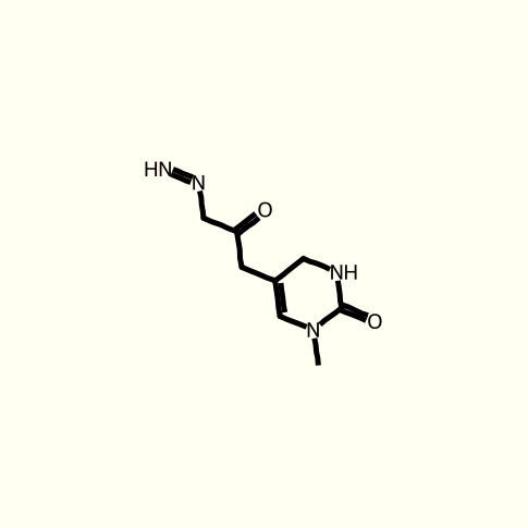 CN1C=C(CC(=O)CN=N)CNC1=O